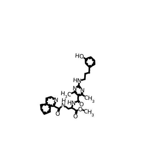 COC(=O)C(CNC(=O)c1nccc2ccccc12)NC(=O)c1c(C)nc(NCCCc2cccc(O)c2)nc1C